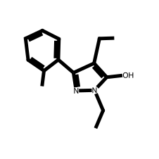 CCc1c(-c2ccccc2C)nn(CC)c1O